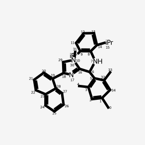 Cc1cc(C)c(C(Nc2c(C(C)C)cccc2C(C)C)c2nc(-c3cccc4ccccc34)cn2C)c(C)c1